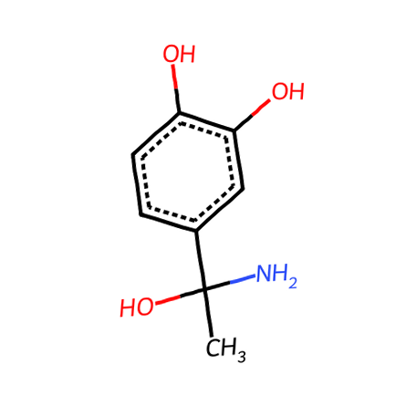 CC(N)(O)c1ccc(O)c(O)c1